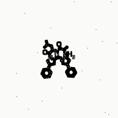 CC(C)CC(NC(=O)C(C)N)C(=O)N1CC(c2ccccc2)CC1CN1CCC(c2ccccc2)C1